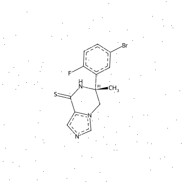 C[C@@]1(c2cc(Br)ccc2F)Cn2cncc2C(=S)N1